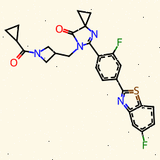 O=C(C1CC1)N1CC(CN2C(=O)C3(CC3)N=C2c2ccc(-c3nc4cc(F)ccc4s3)cc2F)C1